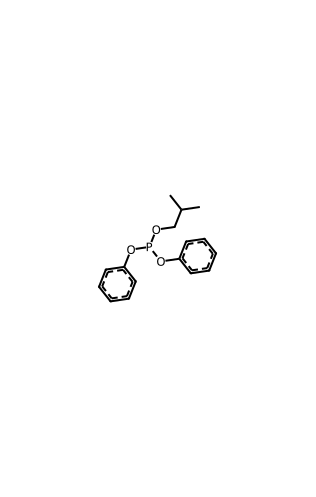 CC(C)COP(Oc1ccccc1)Oc1ccccc1